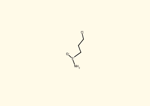 N[S+]([O-])CCCCl